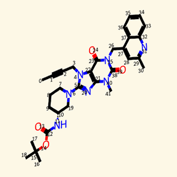 CC#CCn1c(N2CCC[C@@H](NC(=O)OC(C)(C)C)C2)nc2c1c(=O)n(Cc1cc(C)nc3ccccc13)c(=O)n2C